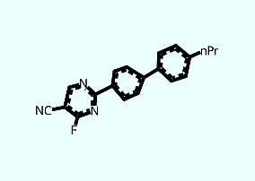 CCCc1ccc(-c2ccc(-c3ncc(C#N)c(F)n3)cc2)cc1